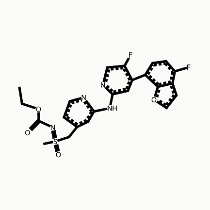 CCOC(=O)N=S(C)(=O)Cc1ccnc(Nc2cc(-c3ccc(F)c4ccoc34)c(F)cn2)c1